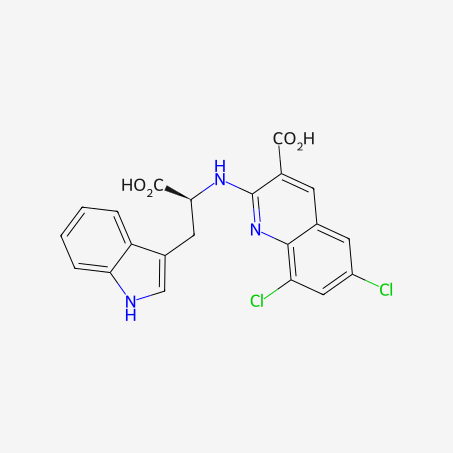 O=C(O)c1cc2cc(Cl)cc(Cl)c2nc1N[C@@H](Cc1c[nH]c2ccccc12)C(=O)O